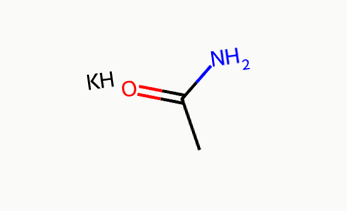 CC(N)=O.[KH]